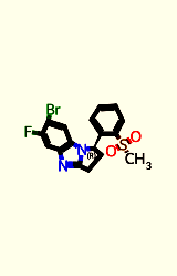 CS(=O)(=O)c1ccccc1[C@H]1CCc2nc3cc(F)c(Br)cc3n21